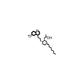 CCCCCCCN1CC[C@@H](CCCc2ccnc3ccc(OC)cc23)[C@@H](CC(C)O)C1